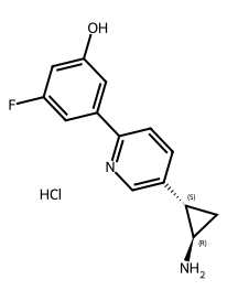 Cl.N[C@@H]1C[C@H]1c1ccc(-c2cc(O)cc(F)c2)nc1